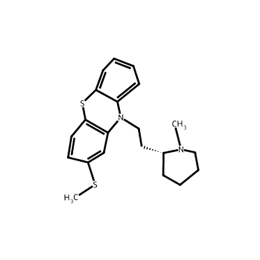 CSc1ccc2c(c1)N(CC[C@H]1CCCCN1C)c1ccccc1S2